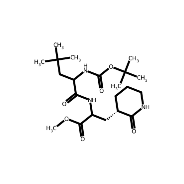 COC(=O)C(C[C@@H]1CCCNC1=O)NC(=O)C(CC(C)(C)C)NC(=O)OC(C)(C)C